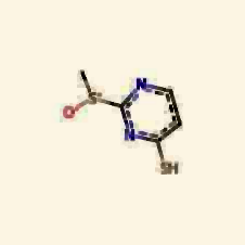 C[S+]([O-])c1nccc(S)n1